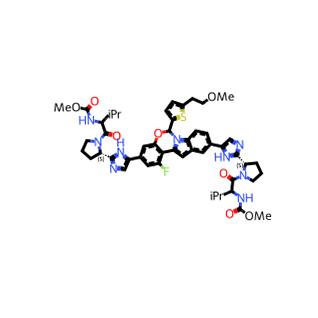 COCCc1ccc(C2Oc3cc(-c4cnc([C@@H]5CCCN5C(=O)C(NC(=O)OC)C(C)C)[nH]4)cc(F)c3-c3cc4cc(-c5cnc([C@@H]6CCCN6C(=O)C(NC(=O)OC)C(C)C)[nH]5)ccc4n32)s1